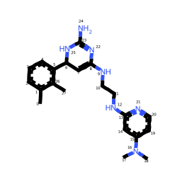 Cc1cccc(C2C=C(NCCNc3cc(N(C)C)ccn3)N=C(N)N2)c1C